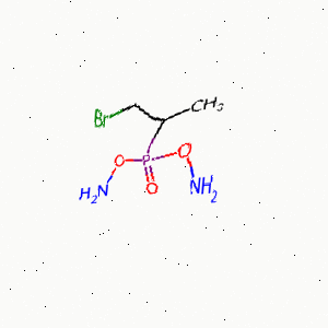 CC(CBr)P(=O)(ON)ON